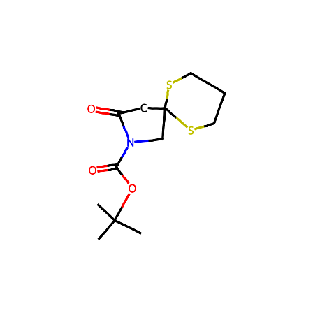 CC(C)(C)OC(=O)N1CC2(CC1=O)SCCCS2